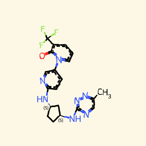 Cc1cnc(N[C@H]2CC[C@H](Nc3ccc(-n4cccc(C(F)(F)F)c4=O)cn3)C2)nn1